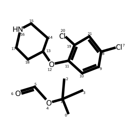 CC(C)(C)OC=O.Clc1ccc(OC2CCNCC2)c(Cl)c1